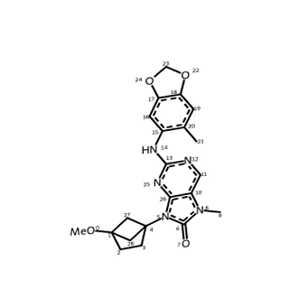 COC12CCC(n3c(=O)n(C)c4cnc(Nc5cc6c(cc5C)OCO6)nc43)(C1)C2